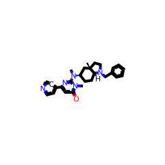 CN(c1nc(-c2ccncc2)cc(=O)n1C)[C@@H]1CC[C@H]2N(Cc3ccccc3)CC[C@@]2(C)C1